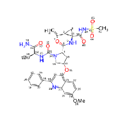 C=CC1C[C@]1(NC(=O)[C@@H]1CC(Oc2cc(-c3ccccc3)nc3cc(OC)ccc23)CN1C(=O)N[C@H](C(N)=O)C(C)(C)C)C(=O)NS(C)(=O)=O